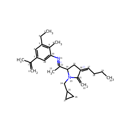 C=C(C)c1cc(CC)c(C)c(/N=C(\C)C2C/C(=C/CCC)C(=C)N2CC2CC2)c1